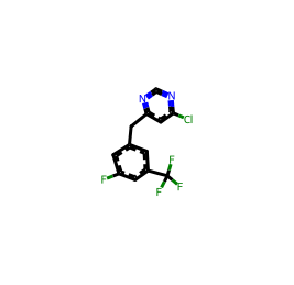 Fc1cc(Cc2cc(Cl)ncn2)cc(C(F)(F)F)c1